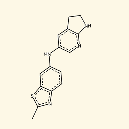 Cc1nc2ccc(Nc3cnc4c(c3)CCN4)cc2s1